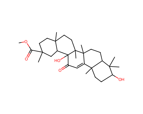 COC(=O)C1(C)CCC2(C)CCC3(C)C4(C)CCC5C(C)(CCC(O)C5(C)C)C4=CC(=O)C3(O)C2C1